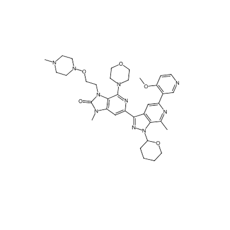 COc1ccncc1-c1cc2c(-c3cc4c(c(N5CCOCC5)n3)n(CCON3CCN(C)CC3)c(=O)n4C)nn(C3CCCCO3)c2c(C)n1